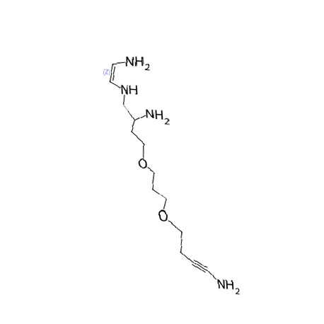 NC#CCCOCCCOCCC(N)CN/C=C\N